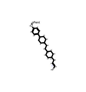 CCCCCOc1ccc(C2CCC(CCC3CCC(C/C=C/F)CC3)CC2)cc1